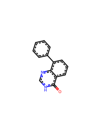 O=c1[nH]cnc2c(-c3ccccc3)cccc12